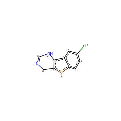 Clc1ccc2sc3c(c2c1)NC=NC3